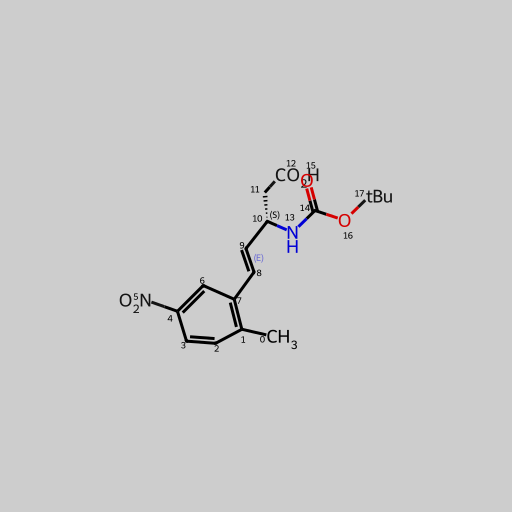 Cc1ccc([N+](=O)[O-])cc1/C=C/[C@H](CC(=O)O)NC(=O)OC(C)(C)C